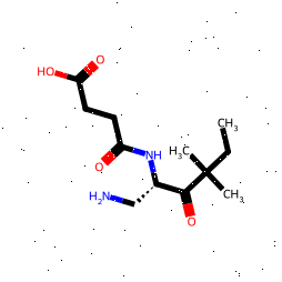 CCC(C)(C)C(=O)[C@H](CN)NC(=O)CCC(=O)O